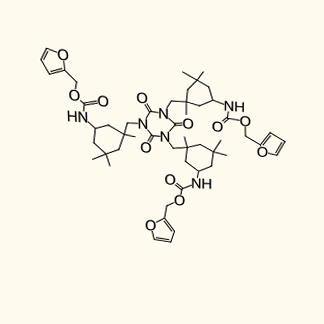 CC1(C)CC(NC(=O)OCc2ccco2)CC(C)(Cn2c(=O)n(CC3(C)CC(NC(=O)OCc4ccco4)CC(C)(C)C3)c(=O)n(CC3(C)CC(NC(=O)OCc4ccco4)CC(C)(C)C3)c2=O)C1